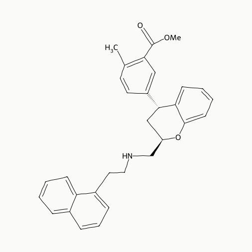 COC(=O)c1cc([C@H]2C[C@H](CNCCc3cccc4ccccc34)Oc3ccccc32)ccc1C